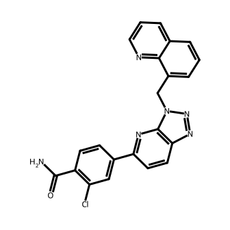 NC(=O)c1ccc(-c2ccc3nnn(Cc4cccc5cccnc45)c3n2)cc1Cl